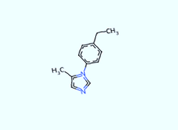 CCc1ccc(-n2cncc2C)cc1